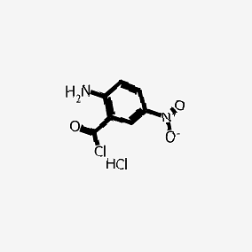 Cl.Nc1ccc([N+](=O)[O-])cc1C(=O)Cl